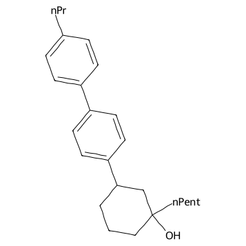 CCCCCC1(O)CCCC(c2ccc(-c3ccc(CCC)cc3)cc2)C1